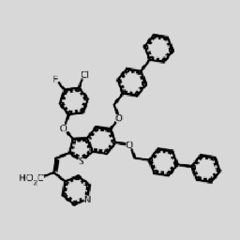 O=C(O)/C(=C/c1sc2cc(OCc3ccc(-c4ccccc4)cc3)c(OCc3ccc(-c4ccccc4)cc3)cc2c1Oc1ccc(Cl)c(F)c1)c1ccncc1